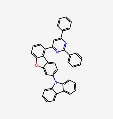 c1ccc(-c2cc(-c3cccc4oc5cc(-n6c7ccccc7c7ccccc76)ccc5c34)nc(-c3ccccc3)n2)cc1